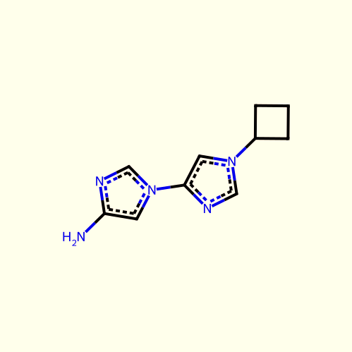 Nc1cn(-c2cn(C3CCC3)cn2)cn1